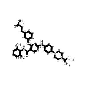 Cc1cccc(C)c1NC(=O)c1cnc(Nc2ccc(N3CCN(C(C)C)CC3)cc2)nc1Oc1cccc(CCC(N)=O)c1